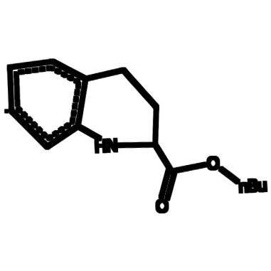 CCCCOC(=O)C1CCc2cc[c]cc2N1